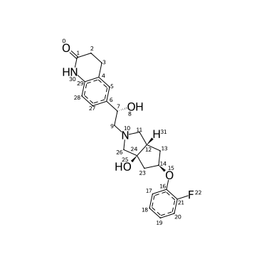 O=C1CCc2cc([C@H](O)CN3C[C@@H]4C[C@@H](Oc5ccccc5F)C[C@]4(O)C3)ccc2N1